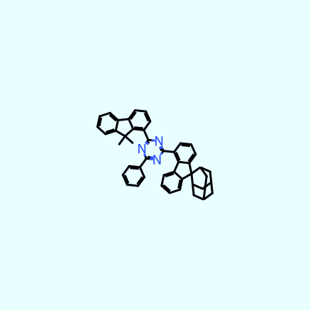 CC1(C)c2ccccc2-c2cccc(-c3nc(-c4ccccc4)nc(-c4cccc5c4-c4ccccc4C54C5CC6CC(C5)CC4C6)n3)c21